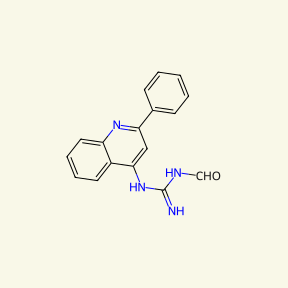 N=C(NC=O)Nc1cc(-c2ccccc2)nc2ccccc12